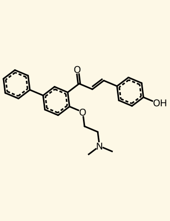 CN(C)CCOc1ccc(-c2ccccc2)cc1C(=O)C=Cc1ccc(O)cc1